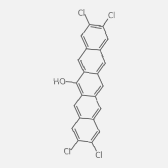 Oc1c2cc3cc(Cl)c(Cl)cc3cc2cc2cc3cc(Cl)c(Cl)cc3cc12